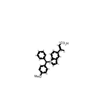 COc1ccc(C(c2ccccc2)n2ccc3cc(/C(C)=C/C(=O)O)ccc32)cc1